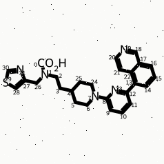 O=C(O)N(CCC1CCN(c2cccc(-c3cccc4cnccc34)n2)CC1)Cc1cscn1